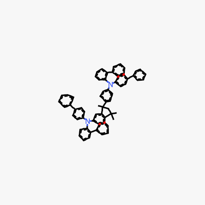 CC1(C)CC(C)(c2ccc(N(c3ccc(-c4ccccc4)cc3)c3ccccc3-c3ccccc3)cc2)c2cc(N(c3ccc(-c4ccccc4)cc3)c3ccccc3-c3ccccc3)ccc21